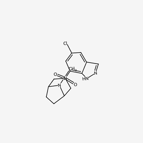 CS(=O)(=O)N1C2CCC1CN(c1cc(Cl)cc3cn[nH]c13)C2